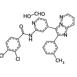 Cc1cccc(-c2nc3cccnn3c2-c2ccnc(NC(=O)c3ccc(Cl)c(Cl)c3)c2)c1.O=CO